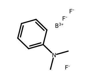 CN(C)c1ccccc1.[B+3].[F-].[F-].[F-]